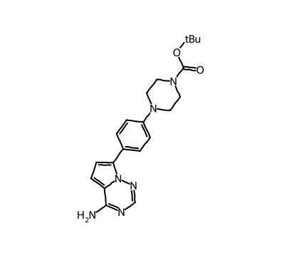 CC(C)(C)OC(=O)N1CCN(c2ccc(-c3ccc4c(N)ncnn34)cc2)CC1